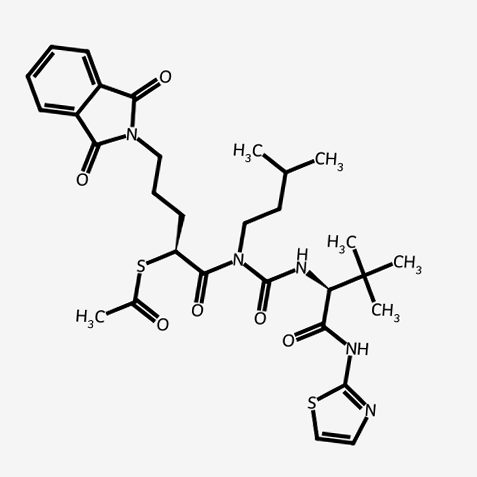 CC(=O)S[C@@H](CCCN1C(=O)c2ccccc2C1=O)C(=O)N(CCC(C)C)C(=O)N[C@H](C(=O)Nc1nccs1)C(C)(C)C